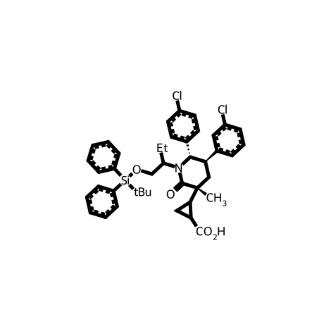 CCC(CO[Si](c1ccccc1)(c1ccccc1)C(C)(C)C)N1C(=O)[C@@](C)(C2CC2C(=O)O)C[C@H](c2cccc(Cl)c2)[C@H]1c1ccc(Cl)cc1